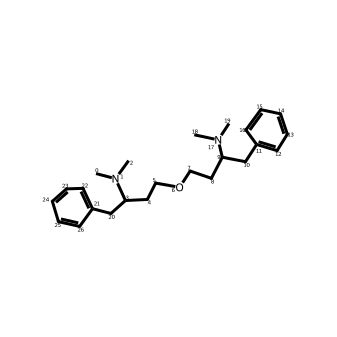 CN(C)C(CCOCCC(Cc1ccccc1)N(C)C)Cc1ccccc1